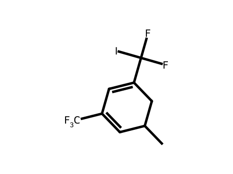 CC1C=C(C(F)(F)F)C=C(C(F)(F)I)C1